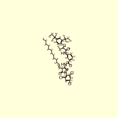 CCCCCCCCCCCCSC1C(=O)N(c2c(Cl)cc(Cl)cc2Cl)N=C1NC(=O)c1cccc(NC(=O)C(CC)Oc2ccc(C(C)(C)CC)cc2C(C)(C)CC)c1